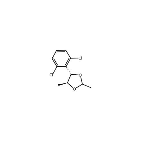 [CH2][C@@H]1OC(C)O[C@H]1c1c(Cl)cccc1Cl